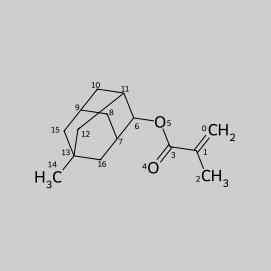 C=C(C)C(=O)OC1C2CC3CC1CC(C)(C3)C2